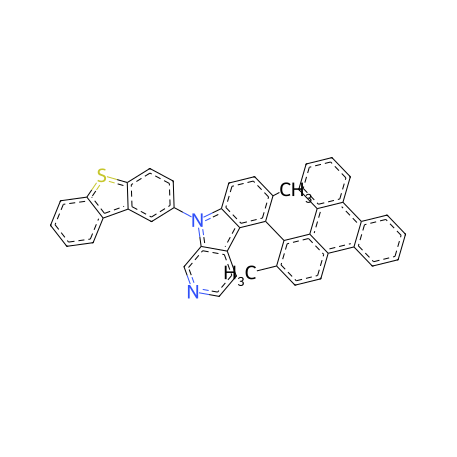 Cc1ccc2c3ccccc3c3ccccc3c2c1-c1c(C)ccc2c1c1ccncc1n2-c1ccc2sc3ccccc3c2c1